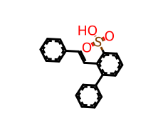 O=S(=O)(O)c1cccc(-c2ccccc2)c1C=Cc1ccccc1